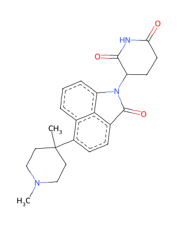 CN1CCC(C)(c2ccc3c4c(cccc24)N(C2CCC(=O)NC2=O)C3=O)CC1